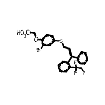 O=C(O)COc1ccc(SC/C=C(/c2ccccc2)c2ccccc2C(F)(F)CF)cc1Br